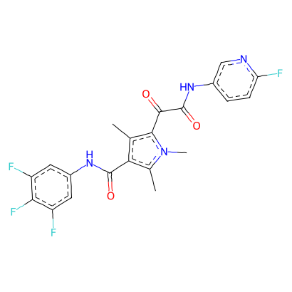 Cc1c(C(=O)Nc2cc(F)c(F)c(F)c2)c(C)n(C)c1C(=O)C(=O)Nc1ccc(F)nc1